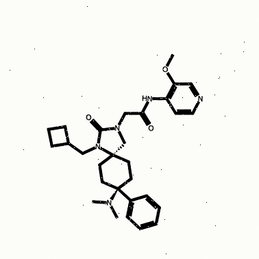 COc1cnccc1NC(=O)CN1C[C@]2(CC[C@](c3ccccc3)(N(C)C)CC2)N(CC2CCC2)C1=O